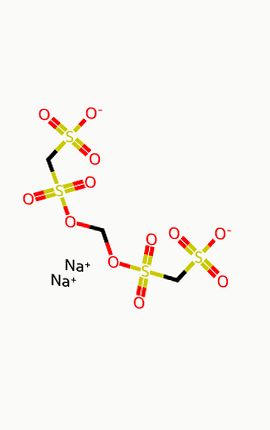 O=S(=O)([O-])CS(=O)(=O)OCOS(=O)(=O)CS(=O)(=O)[O-].[Na+].[Na+]